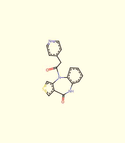 O=C1Nc2ccccc2N(C(=O)Cc2ccncc2)c2cscc21